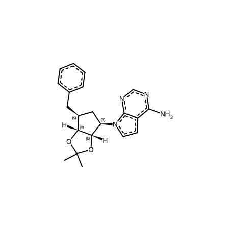 CC1(C)O[C@@H]2[C@@H](Cc3ccccc3)C[C@@H](n3ccc4c(N)ncnc43)[C@@H]2O1